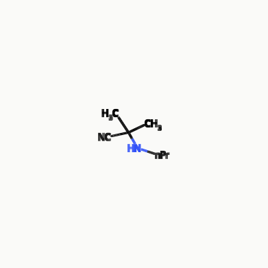 CCCNC(C)(C)C#N